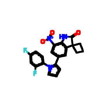 O=C1Nc2c([N+](=O)[O-])cc(-c3cccn3-c3ccc(F)cc3F)cc2C12CCC2